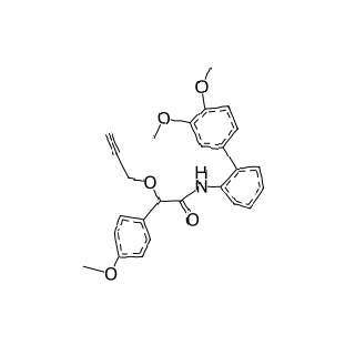 C#CCOC(C(=O)Nc1ccccc1-c1ccc(OC)c(OC)c1)c1ccc(OC)cc1